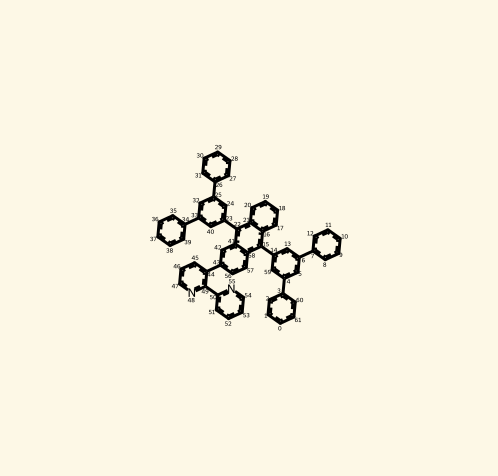 c1ccc(-c2cc(-c3ccccc3)cc(-c3c4ccccc4c(-c4cc(-c5ccccc5)cc(-c5ccccc5)c4)c4cc(-c5cccnc5-c5ccccn5)ccc34)c2)cc1